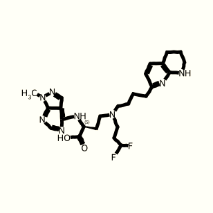 Cn1ncc2c(N[C@@H](CCN(CCCCc3ccc4c(n3)NCCC4)CCC(F)F)C(=O)O)ncnc21